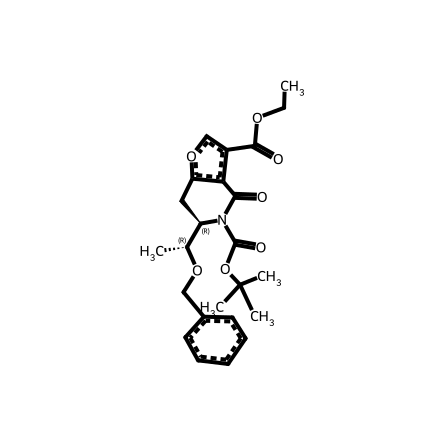 CCOC(=O)c1coc2c1C(=O)N(C(=O)OC(C)(C)C)[C@@H]([C@@H](C)OCc1ccccc1)C2